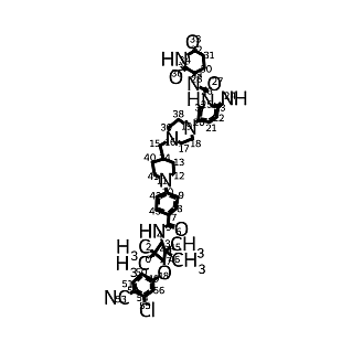 CC1(C)[C@H](NC(=O)c2ccc(N3CCC(CN4CCN(c5ccc(=N)n(C(=O)NC6CCC(=O)NC6=O)c5)CC4)CC3)cc2)C(C)(C)[C@H]1Oc1ccc(C#N)c(Cl)c1